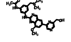 COc1cc(-c2cncc(CO)n2)cc2cnc(Nc3cc(CN(C)C)cc(NC(C)=O)c3)nc12